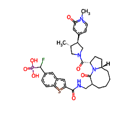 C[C@H]1CN(C(=O)[C@@H]2CC[C@@H]3CCCCC(CNC(=O)c4cc5cc(C(F)P(=O)(O)O)ccc5s4)C(=O)N32)C[C@@H]1c1ccn(C)c(=O)c1